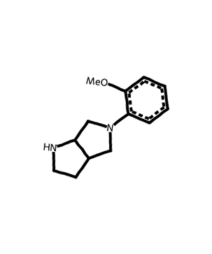 COc1ccccc1N1CC2CCNC2C1